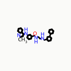 Cc1cc(Nc2cccc(C(=O)NCCNCc3cccc(-c4ccccc4)c3)c2)c2ccccc2n1